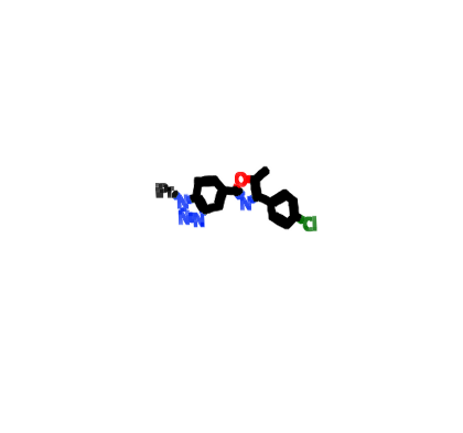 Cc1oc(-c2ccc3c(c2)nnn3C(C)C)nc1-c1ccc(Cl)cc1